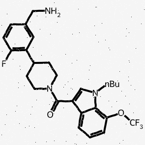 CCCCn1cc(C(=O)N2CCC(c3cc(CN)ccc3F)CC2)c2cccc(OC(F)(F)F)c21